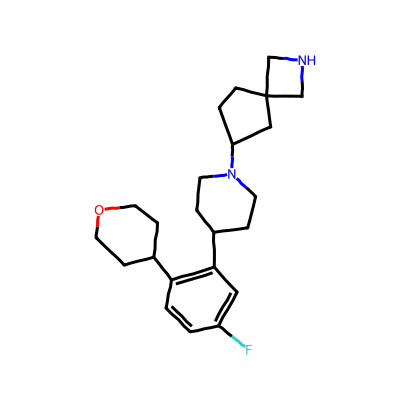 Fc1ccc(C2CCOCC2)c(C2CCN(C3CCC4(CNC4)C3)CC2)c1